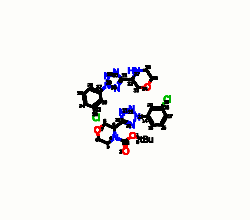 CC(C)(C)OC(=O)N1CCOCC1c1nnn(-c2cccc(Cl)c2)n1.Clc1cccc(-n2nnc(C3COCCN3)n2)c1